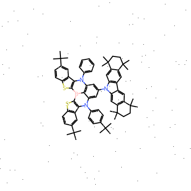 CC(C)(C)c1ccc(N2c3cc(-n4c5cc6c(cc5c5cc7c(cc54)C(C)(C)CCC7(C)C)C(C)(C)CCC6(C)C)cc4c3B(c3sc5ccc(C(C)(C)C)cc5c3N4c3ccccc3)c3sc4ccc(C(C)(C)C)cc4c32)cc1